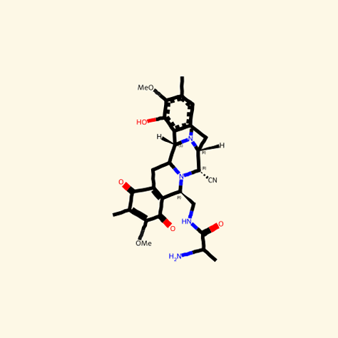 COC1=C(C)C(=O)C2=C(C1=O)[C@H](CNC(=O)C(C)N)N1C(C2)[C@@H]2c3c(cc(C)c(OC)c3O)C[C@H]([C@@H]1C#N)N2C